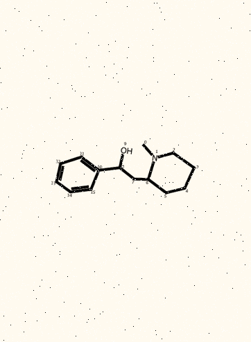 CN1CCCCC1CC(O)c1ccccc1